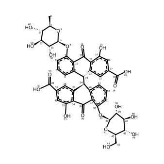 C[C@H]1O[C@@H](Oc2cccc3c2C(=O)c2c(O)cc(C(=O)O)cc2[C@@H]3[C@@H]2c3cc(C(=O)O)cc(O)c3C(=O)c3c(O[C@@H]4O[C@H](CO)[C@@H](O)[C@H](O)[C@H]4O)cccc32)[C@H](O)[C@@H](O)[C@@H]1O